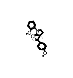 COc1ccc(C(=O)[C@]2(C)CCN(c3ccccc3OC)C2=O)cc1